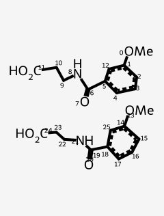 COc1cccc(C(=O)NCCC(=O)O)c1.COc1cccc(C(=O)NCCC(=O)O)c1